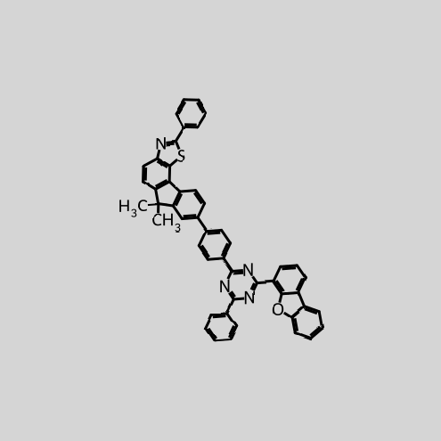 CC1(C)c2cc(-c3ccc(-c4nc(-c5ccccc5)nc(-c5cccc6c5oc5ccccc56)n4)cc3)ccc2-c2c1ccc1nc(-c3ccccc3)sc21